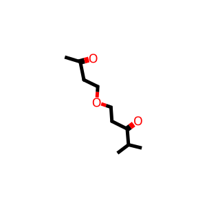 CC(=O)CCOCCC(=O)C(C)C